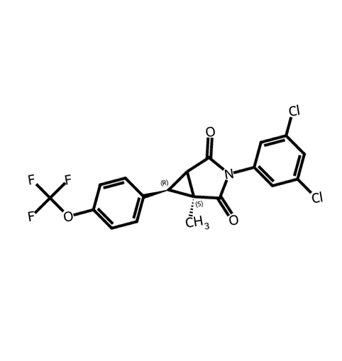 C[C@@]12C(=O)N(c3cc(Cl)cc(Cl)c3)C(=O)C1[C@@H]2c1ccc(OC(F)(F)F)cc1